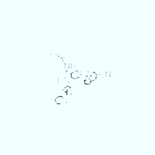 CC(C)(O)[C@H](F)CNC(=O)c1cnc(-c2ccc3cc(C#N)cnn23)cc1Nc1cnn(-c2ccccn2)c1